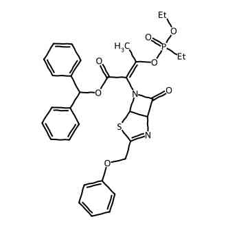 CCOP(=O)(CC)OC(C)=C(C(=O)OC(c1ccccc1)c1ccccc1)N1C(=O)C2N=C(COc3ccccc3)SC21